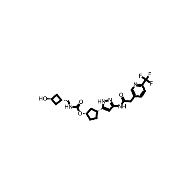 O=C(Cc1ccc(C(F)(F)F)nc1)Nc1cc([C@@H]2CC[C@H](OC(=O)NC[C@H]3C[C@H](O)C3)C2)[nH]n1